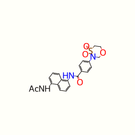 CC(=O)Nc1cccc2c(NC(=O)c3ccc(N4COCCS4(=O)=O)cc3)cccc12